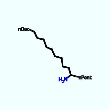 CCCCCCCCCCCCCCCCCCCC(N)CCCCC